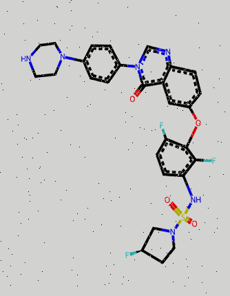 O=c1c2cc(Oc3c(F)ccc(NS(=O)(=O)N4CC[C@@H](F)C4)c3F)ccc2ncn1-c1ccc(N2CCNCC2)cc1